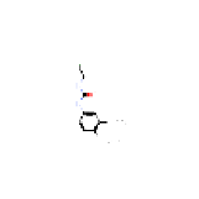 COc1ccc(NC(=O)NCCCl)cc1OC